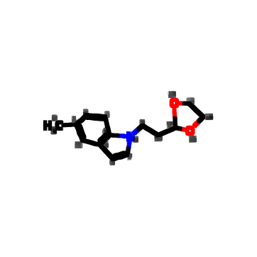 Cc1ccc2c(ccn2CCC2OCCO2)c1